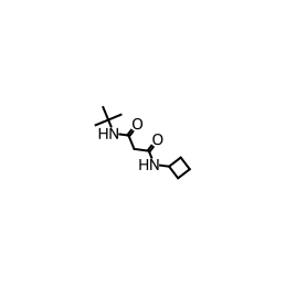 CC(C)(C)NC(=O)CC(=O)NC1CCC1